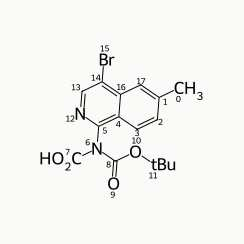 Cc1ccc2c(N(C(=O)O)C(=O)OC(C)(C)C)ncc(Br)c2c1